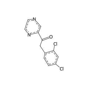 O=C(Cc1ccc(Cl)cc1Cl)c1cnccn1